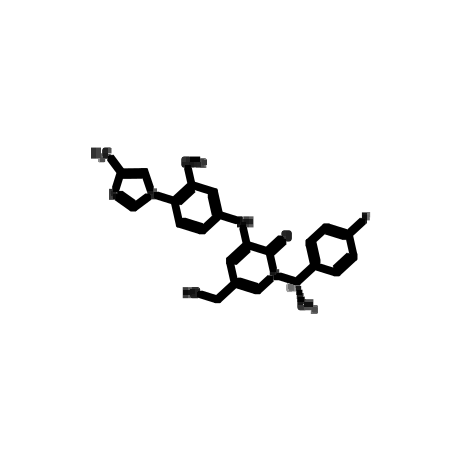 COc1cc(Nc2cc(CO)cn([C@@H](C)c3ccc(F)cc3)c2=O)ccc1-n1cnc(C)c1